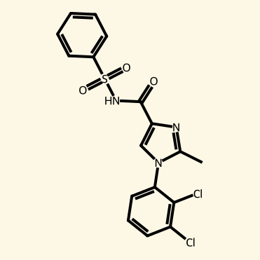 Cc1nc(C(=O)NS(=O)(=O)c2ccccc2)cn1-c1cccc(Cl)c1Cl